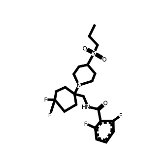 CCCS(=O)(=O)C1CCN(C2(CNC(=O)c3c(F)cccc3F)CCC(F)(F)CC2)CC1